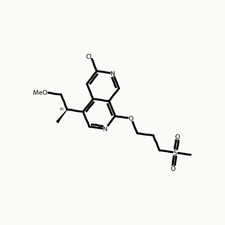 COC[C@H](C)c1cnc(OCCCS(C)(=O)=O)c2cnc(Cl)cc12